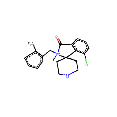 C[N+]1(Cc2ccccc2C(F)(F)F)C(=O)c2cccc(Cl)c2C12CCNCC2